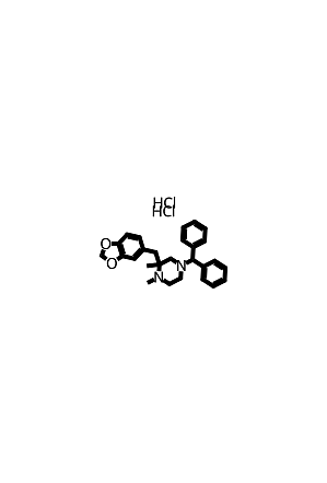 CN1CCN(C(c2ccccc2)c2ccccc2)CC1(C)Cc1ccc2c(c1)OCO2.Cl.Cl